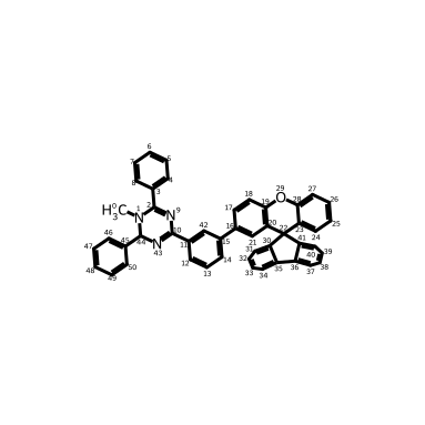 CN1C(c2ccccc2)=NC(c2cccc(-c3ccc4c(c3)C3(c5ccccc5O4)c4ccccc4-c4ccccc43)c2)=NC1c1ccccc1